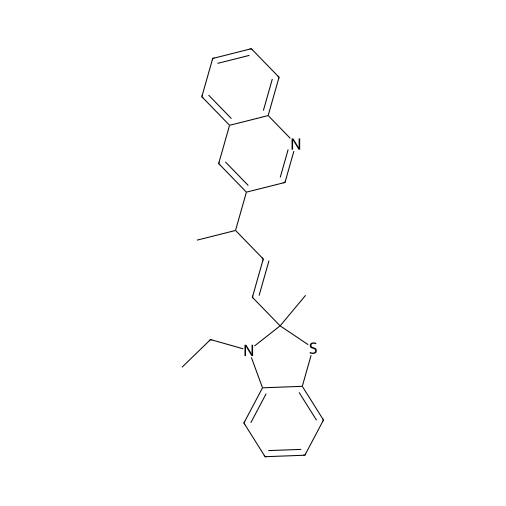 CCN1c2ccccc2SC1(C)C=CC(C)c1cnc2ccccc2c1